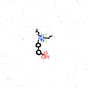 CCCC(F)(F)c1nc(CCC(C)C)n(Cc2ccc(-c3cccc(C(=O)O)c3)cc2)n1